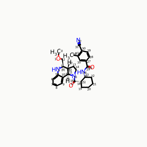 COC[C@@H]1Nc2ccccc2[C@H]2[C@H]1CCN2C(=O)[C@H]1CCCC[C@H]1NC(=O)c1ccc(C#N)c(C)c1